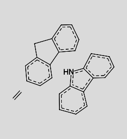 C=C.c1ccc2c(c1)Cc1ccccc1-2.c1ccc2c(c1)[nH]c1ccccc12